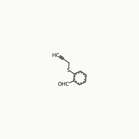 C#CCSc1ccccc1C=O